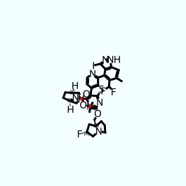 Cc1cc2[nH]nc(I)c2c(-c2nccc3c2sc2nc(OC[C@@]45CCCN4C[C@H](F)C5)nc(N4C[C@H]5CC[C@@H](C4)N5C(=O)OC(C)(C)C)c23)c1C(F)F